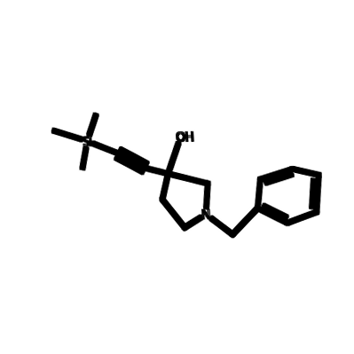 C[Si](C)(C)C#CC1(O)CCN(Cc2ccccc2)C1